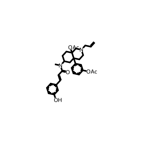 C=CCN1CCC2(c3cccc(OC(C)=O)c3)CC(N(C)C(=O)/C=C/c3cccc(O)c3)CCC2(OC(C)=O)C1